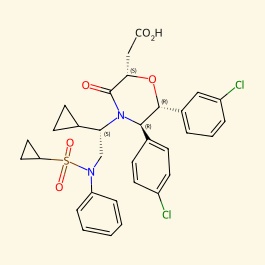 O=C(O)C[C@@H]1O[C@H](c2cccc(Cl)c2)[C@@H](c2ccc(Cl)cc2)N([C@H](CN(c2ccccc2)S(=O)(=O)C2CC2)C2CC2)C1=O